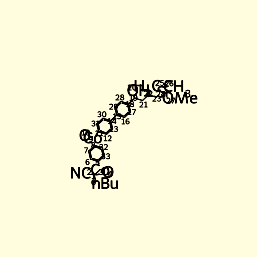 CCCC[CH](C#N)[Co](=[O])[c]1cc[c]([Co](=[O])[c]2ccc(-c3ccc(C(O)CCC[Si](C)(C)OC)cc3)cc2)cc1